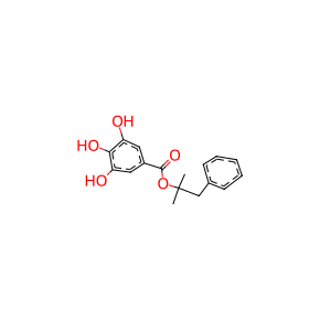 CC(C)(Cc1ccccc1)OC(=O)c1cc(O)c(O)c(O)c1